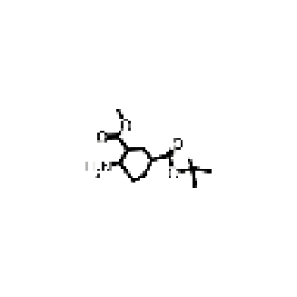 COC(=O)C1CC(C(=O)OC(C)(C)C)CCC1N